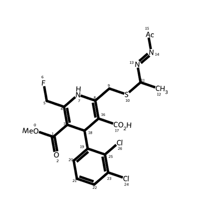 COC(=O)C1=C(CF)NC(CSC(C)N=NC(C)=O)=C(C(=O)O)C1c1cccc(Cl)c1Cl